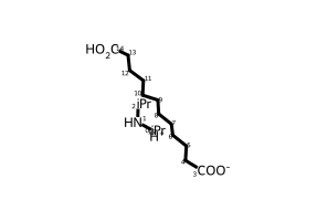 CC(C)NC(C)C.O=C([O-])CCCCCCCCCCC(=O)O.[H+]